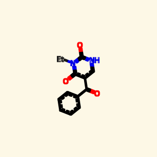 CCn1c(=O)[nH]cc(C(=O)c2ccccc2)c1=O